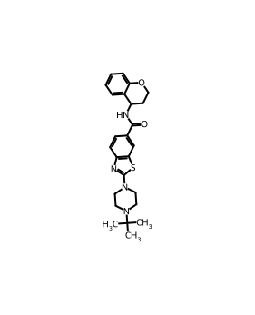 CC(C)(C)N1CCN(c2nc3ccc(C(=O)NC4CCOc5ccccc54)cc3s2)CC1